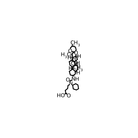 C[C@H]1CC[C@@]2(OC1)O[C@H]1C[C@H]3[C@@H]4CC[C@@H]5C[C@H](NC(=O)N(CCCC(=O)O)C6CCCCC6)CC[C@]5(C)[C@H]4CC[C@]3(C)[C@H]1[C@@H]2C